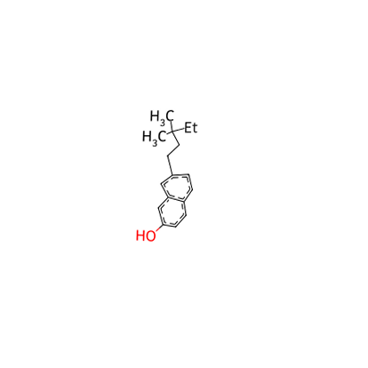 CCC(C)(C)CCc1ccc2ccc(O)cc2c1